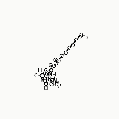 COCCOCCOCCOCCOCCOCCOC(=O)OCOC(=O)c1ccc(NC(=O)[C@@H]2NC(CC(C)(C)C)[C@](C#N)(c3ccc(Cl)cc3F)C2C2C#CC(Cl)=CC=C2)c(OC)c1